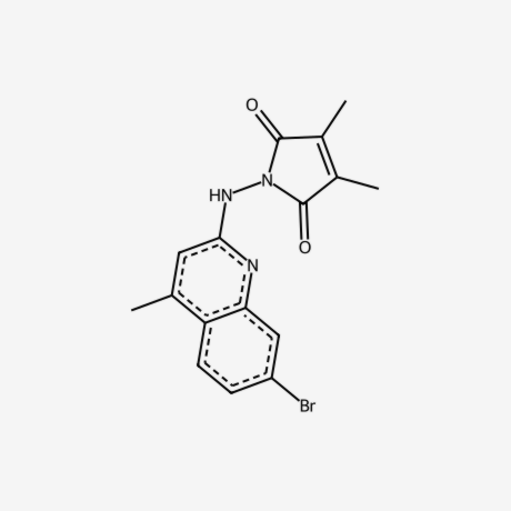 CC1=C(C)C(=O)N(Nc2cc(C)c3ccc(Br)cc3n2)C1=O